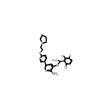 CC(Oc1cc(-c2ccc(OCCN3CCCC3)nc2)cnc1N)c1c(Cl)ccc(F)c1Cl